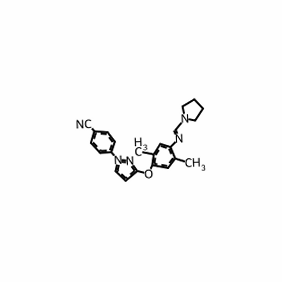 Cc1cc(Oc2ccn(-c3ccc(C#N)cc3)n2)c(C)cc1/N=C/N1CCCC1